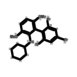 COc1ccc(OC)c(-c2c(C(C)C)cc(C(C)C)cc2C(C)C)c1PC1CCCCC1